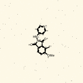 COc1ccc2c(c1F)C(=O)N(Nc1ccncc1)C2=O